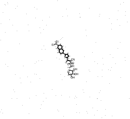 CCN(CC)c1ccc2cc(-c3ccc(/C(C)=C(\C#N)S(=O)(=O)NC[C@H]4OC[C@H](O)[C@@H](O)[C@@H]4O)s3)ccc2c1